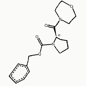 O=C([C@H]1CCCN1C(=O)OCc1ccccc1)N1CCOCC1